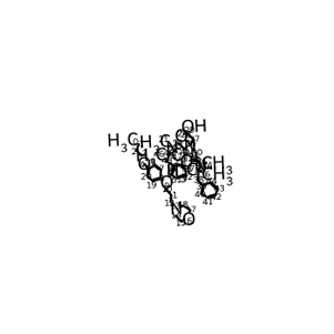 CCCCOc1ccc(OCCCN2CCOCC2)cc1.CN(C(=O)CN(CCO)CC(=O)N(C)C(C)(C)Cc1ccccc1)C(C)(C)Cc1ccccc1